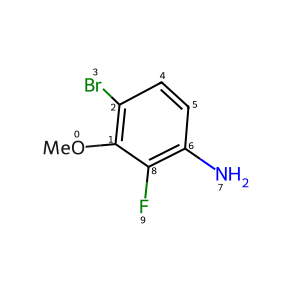 COc1c(Br)ccc(N)c1F